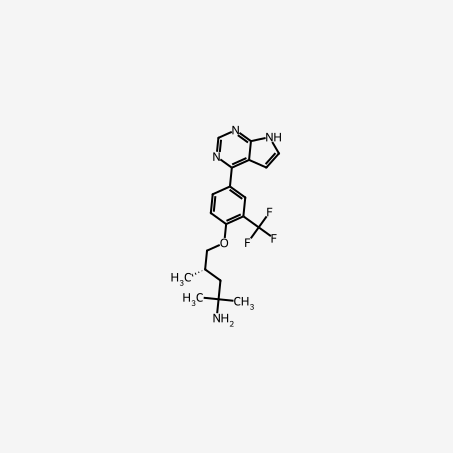 C[C@H](COc1ccc(-c2ncnc3[nH]ccc23)cc1C(F)(F)F)CC(C)(C)N